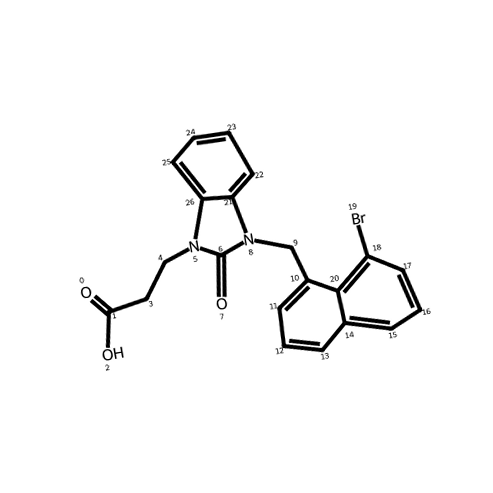 O=C(O)CCn1c(=O)n(Cc2cccc3cccc(Br)c23)c2ccccc21